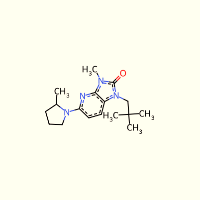 CC1CCCN1c1ccc2c(n1)n(C)c(=O)n2CC(C)(C)C